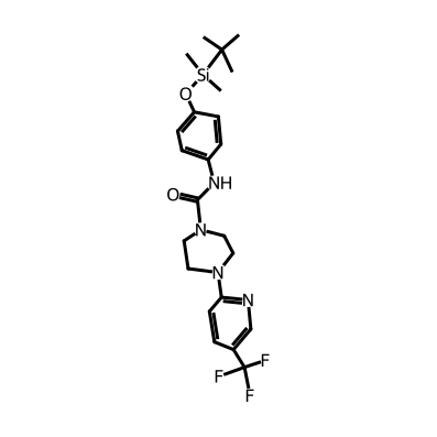 CC(C)(C)[Si](C)(C)Oc1ccc(NC(=O)N2CCN(c3ccc(C(F)(F)F)cn3)CC2)cc1